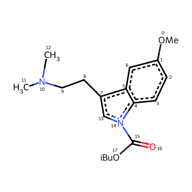 COc1ccc2c(c1)c(CCN(C)C)cn2C(=O)OCC(C)C